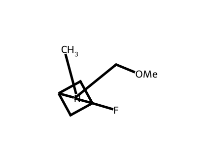 COCC1N(C)C2CC1(F)C2